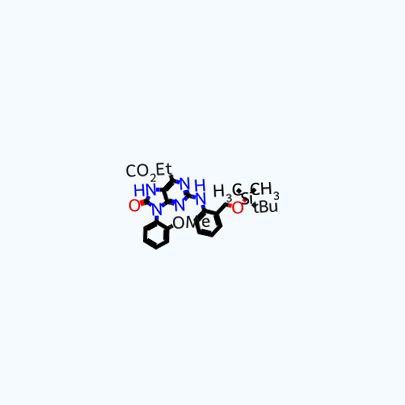 CCOC(=O)c1nc(Nc2ccccc2CO[Si](C)(C)C(C)(C)C)nc2c1[nH]c(=O)n2-c1ccccc1OC